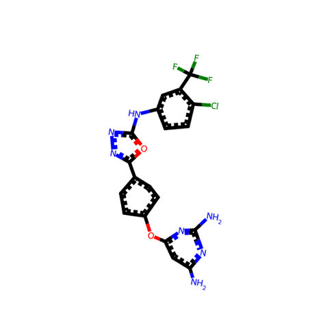 Nc1cc(Oc2ccc(-c3nnc(Nc4ccc(Cl)c(C(F)(F)F)c4)o3)cc2)nc(N)n1